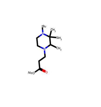 COC(=O)CCN1CCN(C(C)(C)C)C(C)([SiH3])C1C